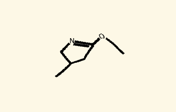 COC1=NCC(C)C1